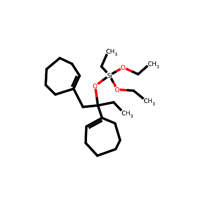 CCO[Si](CC)(OCC)OC(CC)(CC1=CCCCCC1)C1=CCCCCC1